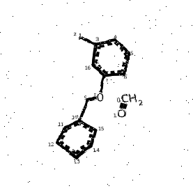 C=O.Ic1cccc(OCc2ccccc2)c1